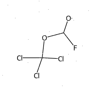 [O]C(F)OC(Cl)(Cl)Cl